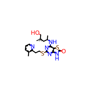 Cc1cccnc1CCSc1nc(NC(C)C[C@@H](C)CO)c2sc(=O)[nH]c2n1